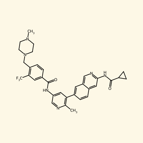 Cc1ncc(NC(=O)c2ccc(CN3CCN(C)CC3)c(C(F)(F)F)c2)cc1-c1ccc2cc(NC(=O)C3CC3)ncc2c1